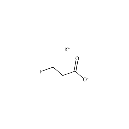 O=C([O-])CCI.[K+]